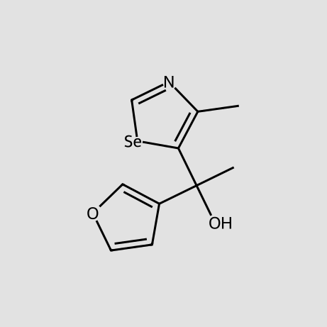 Cc1nc[se]c1C(C)(O)c1ccoc1